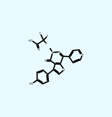 Cn1nc(-c2ccncc2)c2scc(-c3ccc(O)cc3)c2c1=O.O=C(O)C(F)(F)F